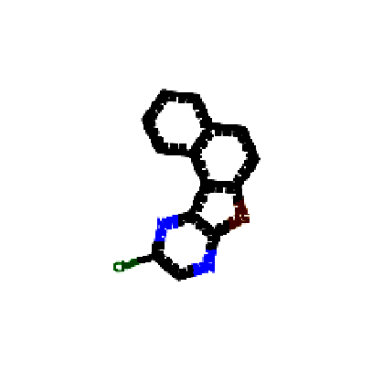 Clc1cnc2sc3ccc4ccccc4c3c2n1